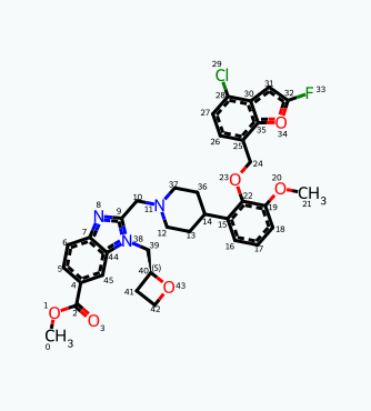 COC(=O)c1ccc2nc(CN3CCC(c4cccc(OC)c4OCc4ccc(Cl)c5cc(F)oc45)CC3)n(C[C@@H]3CCO3)c2c1